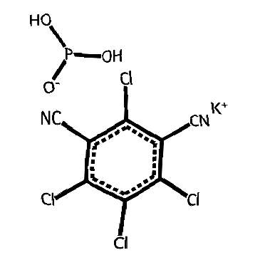 N#Cc1c(Cl)c(Cl)c(Cl)c(C#N)c1Cl.[K+].[O-]P(O)O